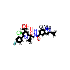 COc1cc(C(=O)NCC(O)(c2cc(C(C)(C)O)c(Cl)c(-c3ccc(F)cc3)n2)C2CC2)cc2cc(C3CC3)nnc12